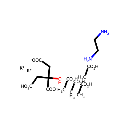 CC(=O)O.CC(=O)O.CC(=O)O.CC(=O)O.NCCN.O=C([O-])CC(O)(CC(=O)O)C(=O)[O-].[K+].[K+]